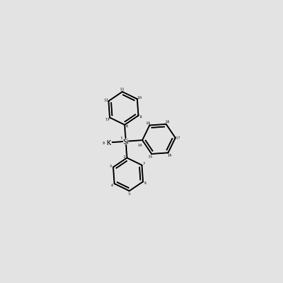 [K][Si](c1ccccc1)(c1ccccc1)c1ccccc1